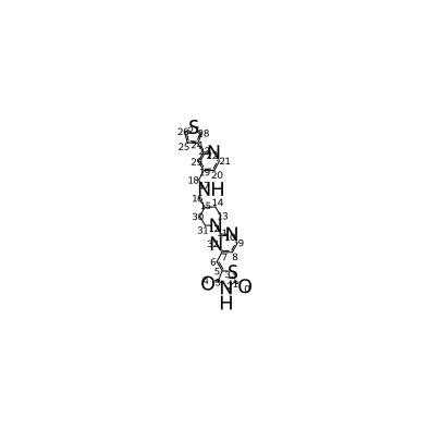 O=C1NC(=O)/C(=C/c2ccnc(N3CCC(CNCc4ccnc(-c5ccsc5)c4)CC3)n2)S1